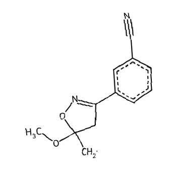 [CH2]C1(OC)CC(c2cccc(C#N)c2)=NO1